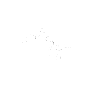 CC[C@@H](CN(C(=O)N[C@@H]1CCCc2ccccc21)C(=O)C(NC(=O)[C@H](C)NC)C(C)(C)C)NC(=O)c1cc(C(=O)N[C@@H]2CNC(C=O)C2)cc([N+](=O)[O-])c1